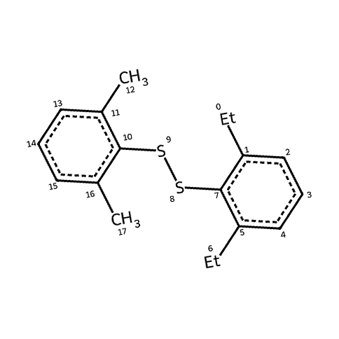 CCc1cccc(CC)c1SSc1c(C)cccc1C